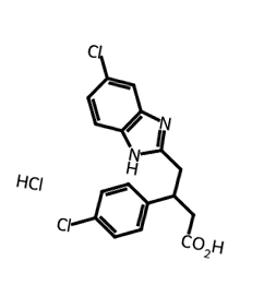 Cl.O=C(O)CC(Cc1nc2cc(Cl)ccc2[nH]1)c1ccc(Cl)cc1